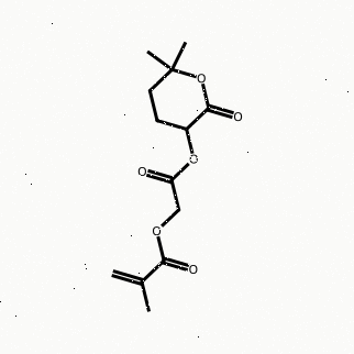 C=C(C)C(=O)OCC(=O)OC1CCC(C)(C)OC1=O